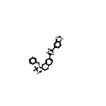 CC1(C)OC[C@@]2(CCC3CC=C(c4nnc(-c5ccc6c(c5)OCO6)o4)C=C3C2)N1Cc1ccccc1